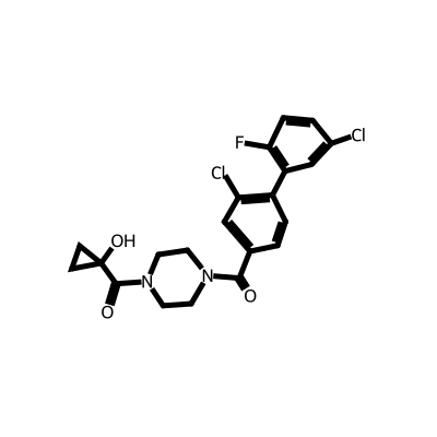 O=C(c1ccc(-c2cc(Cl)ccc2F)c(Cl)c1)N1CCN(C(=O)C2(O)CC2)CC1